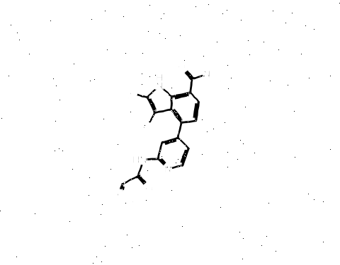 C=CC(=O)Nc1cc(-c2ccc(C(N)=O)c3[nH]c(C)c(C)c23)ccn1